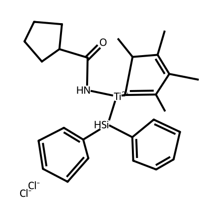 CC1=C(C)C(C)[C]([Ti+2]([NH]C(=O)C2CCCC2)[SiH](c2ccccc2)c2ccccc2)=C1C.[Cl-].[Cl-]